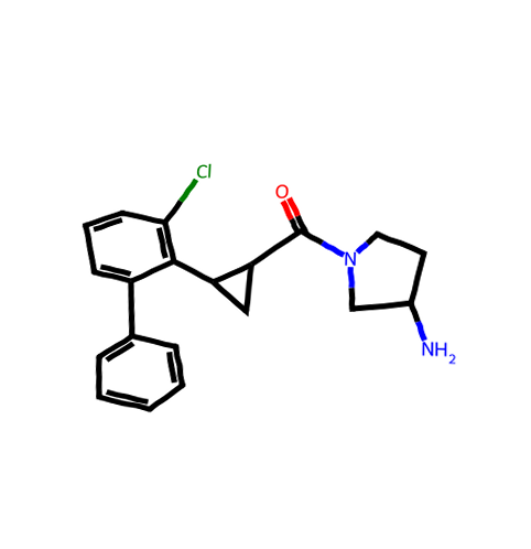 NC1CCN(C(=O)C2CC2c2c(Cl)cccc2-c2ccccc2)C1